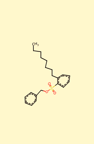 CCCCCCCCc1ccccc1S(=O)(=O)OCc1ccccc1